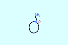 NCCN1CCCCCCCCCCCC1=O